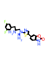 N[C@@H](Cc1cc(F)cc(F)c1)CN(N)c1ncc(-c2ccc3[nH]c(=O)oc3c2)s1